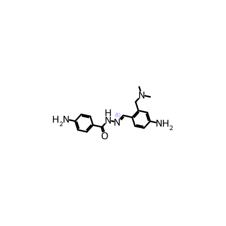 CN(C)Cc1cc(N)ccc1/C=N/NC(=O)c1ccc(N)cc1